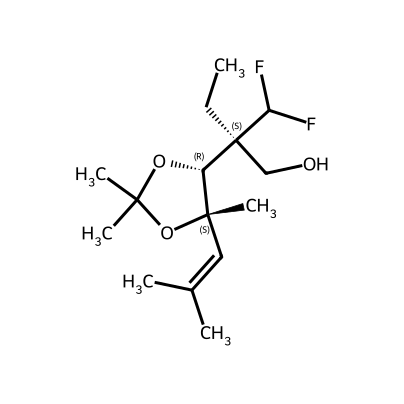 CC[C@@](CO)(C(F)F)[C@H]1OC(C)(C)O[C@@]1(C)C=C(C)C